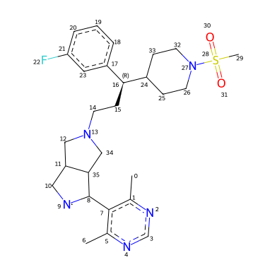 Cc1ncnc(C)c1C1[N]CC2CN(CC[C@@H](c3cccc(F)c3)C3CCN(S(C)(=O)=O)CC3)CC21